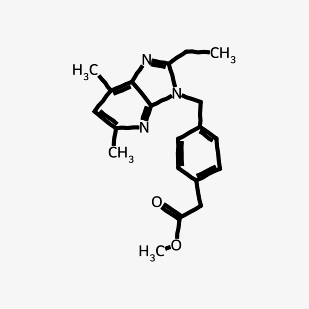 CCc1nc2c(C)cc(C)nc2n1Cc1ccc(CC(=O)OC)cc1